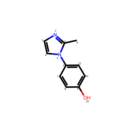 Cc1nccn1-c1ccc(O)cc1